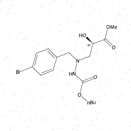 CCCCOC(=O)NN(Cc1ccc(Br)cc1)C[C@@H](O)C(=O)OC